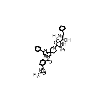 CC(C)[C@H](NC(=O)[C@@H](O)[C@H](N)Cc1ccccc1)C(=O)N1CCC(CNC(=O)c2cccc(-c3noc(C(F)(F)F)n3)c2)(c2nc(-c3ccccc3)cs2)CC1